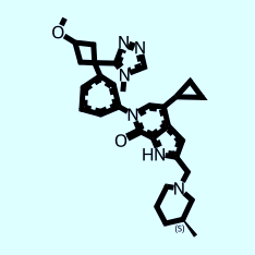 COC1CC(c2cccc(-n3cc(C4CC4)c4cc(CN5CCC[C@H](C)C5)[nH]c4c3=O)c2)(c2nncn2C)C1